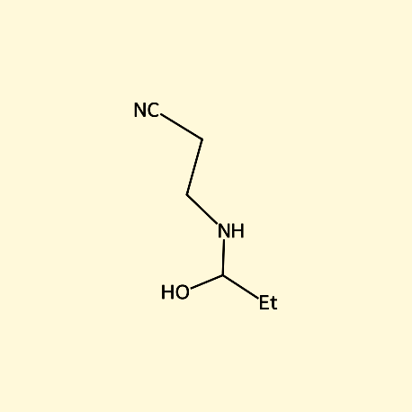 CCC(O)NCCC#N